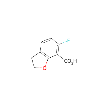 O=C(O)c1c(F)ccc2c1OCC2